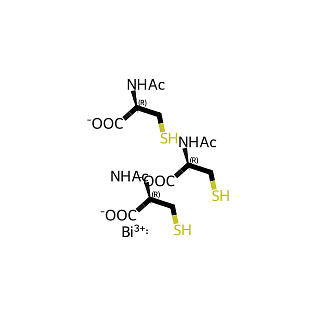 CC(=O)N[C@@H](CS)C(=O)[O-].CC(=O)N[C@@H](CS)C(=O)[O-].CC(=O)N[C@@H](CS)C(=O)[O-].[Bi+3]